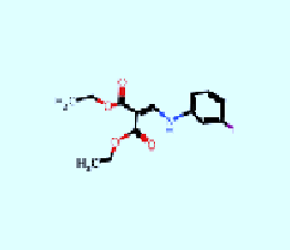 CCOC(=O)C(=CNc1cccc(I)c1)C(=O)OCC